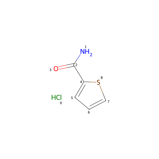 Cl.NC(=O)c1cccs1